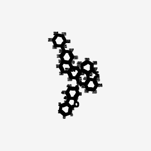 c1ccc2c(c1)oc1cc(N(c3ccc4c(ccc5cc(C6CCCCC6)ccc54)c3)c3cccc4sc5ccccc5c34)ccc12